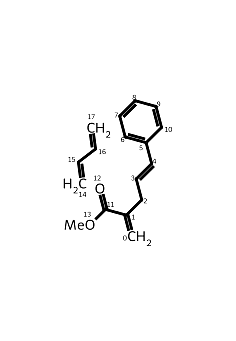 C=C(CC=Cc1ccccc1)C(=O)OC.C=CC=C